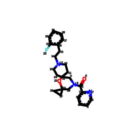 O=C(c1ccccn1)N1CC2(CCN(CCc3ccccc3F)CC2)OC2(CC2)C1